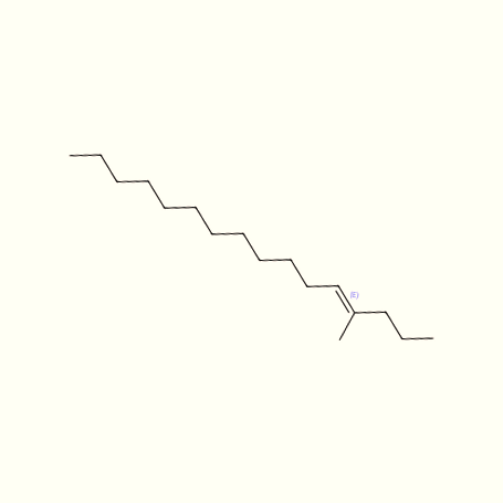 CCCCCCCCCCC/C=C(\C)CCC